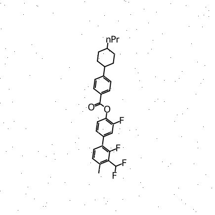 CCCC1CCC(c2ccc(C(=O)Oc3ccc(-c4ccc(C)c(C(F)F)c4F)cc3F)cc2)CC1